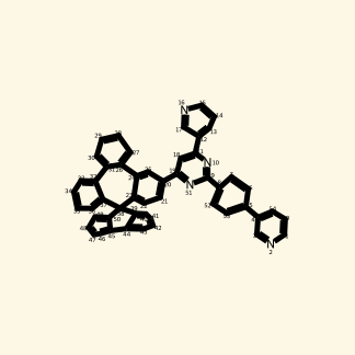 c1cncc(-c2ccc(-c3nc(-c4cccnc4)cc(-c4ccc5c(c4)-c4ccccc4-c4ccccc4C54c5ccccc5-c5ccccc54)n3)cc2)c1